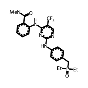 CCP(=O)(CC)Cc1ccc(Nc2ncc(C(F)(F)F)c(Nc3ccccc3C(=O)NC)n2)cc1